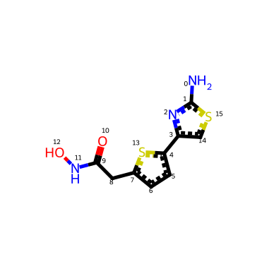 Nc1nc(-c2ccc(CC(=O)NO)s2)cs1